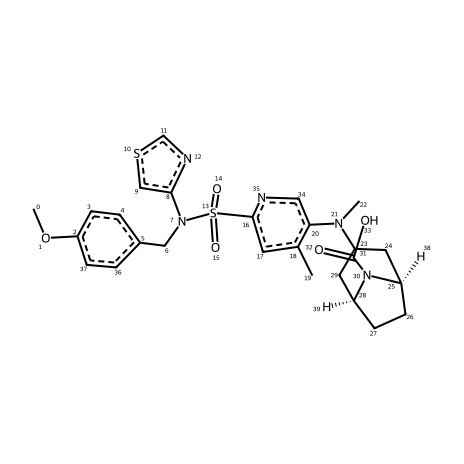 COc1ccc(CN(c2cscn2)S(=O)(=O)c2cc(C)c(N(C)C3C[C@H]4CC[C@@H](C3)N4C(=O)O)cn2)cc1